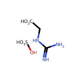 N=C(N)NCC(=O)O.O=S(=O)(O)O